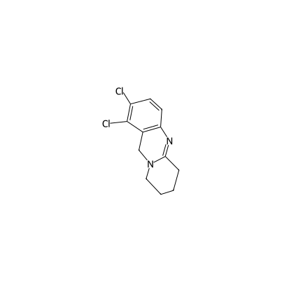 Clc1ccc2c(c1Cl)CN1CCCCC1=N2